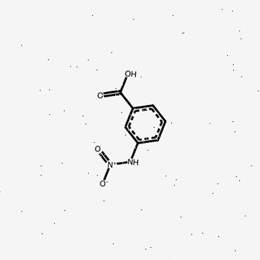 O=C(O)c1cccc(N[N+](=O)[O-])c1